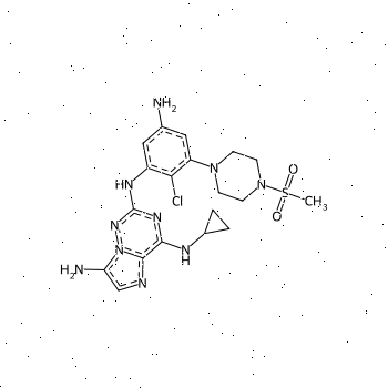 CS(=O)(=O)N1CCN(c2cc(N)cc(Nc3nc(NC4CC4)c4ncc(N)n4n3)c2Cl)CC1